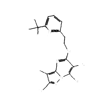 CCc1nn2c(N)c(C#N)c(NCCc3cccc(C(C)(C)O)n3)nc2c1C